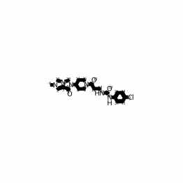 CN1C=C2C(=O)N(C3CCN(C(=O)CCNC(=O)Nc4ccc(Cl)cc4)CC3)CN2C1